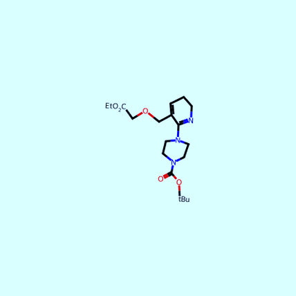 CCOC(=O)COCC1=CCCN=C1N1CCN(C(=O)OC(C)(C)C)CC1